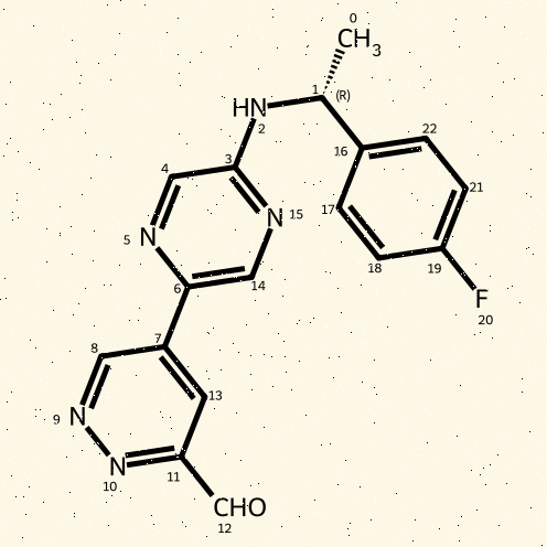 C[C@@H](Nc1cnc(-c2cnnc(C=O)c2)cn1)c1ccc(F)cc1